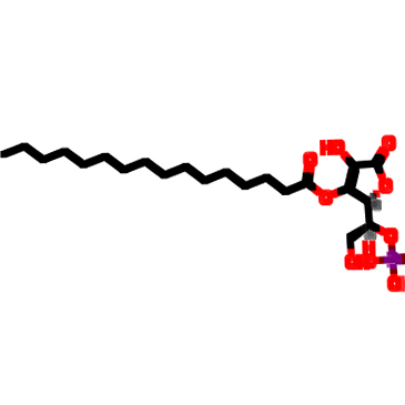 CCCCCCCCCCCCCCCC(=O)OC1=C(O)C(=O)O[C@@H]1[C@H](CO)OP(=O)(O)O